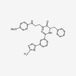 COc1ccc(NCCNC(=O)C(Cc2ccccc2)NC(=O)c2cccc(-c3csc(C)n3)c2)cc1